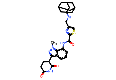 Cn1nc(C2CCC(=O)NC2=O)c2cccc(NC(=O)c3nc(CNC45CC6CC(CC(C6)C4)C5)cs3)c21